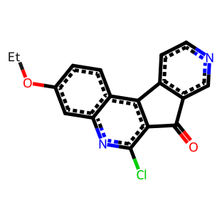 CCOc1ccc2c3c(c(Cl)nc2c1)C(=O)c1cnccc1-3